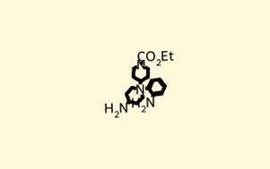 CCOC(=O)N1CCC([N+]2(c3ccccc3N)CCC(N)CC2)CC1